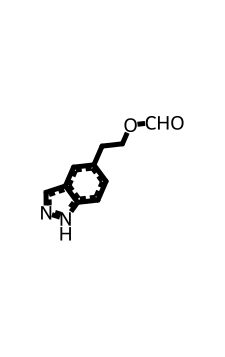 O=COCCc1ccc2[nH]ncc2c1